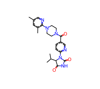 Cc1cnc(N2CCN(C(=O)c3ccc(N4C(=O)NC(=O)C4C(C)C)nc3)CC2)c(C)c1